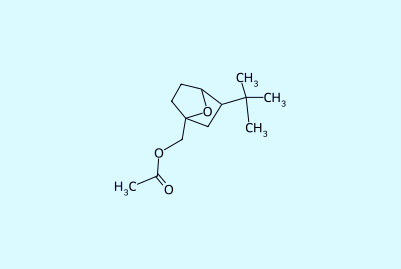 CC(=O)OCC12CCC(O1)C(C(C)(C)C)C2